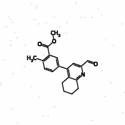 COC(=O)c1cc(-c2cc(C=O)nc3c2CCCC3)ccc1C